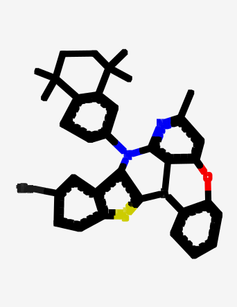 Cc1cc2c3c(n1)N(c1ccc4c(c1)C(C)(C)CCC4(C)C)c1c(sc4ccc(C(C)(C)C)cc14)B3c1ccccc1O2